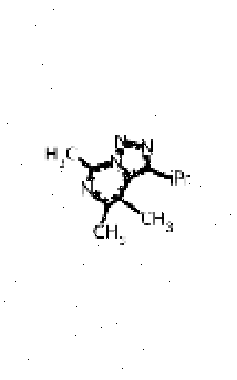 Cc1nc(C)n2nnc(C(C)C)c2c1C